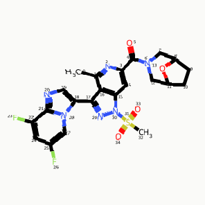 Cc1nc(C(=O)N2CC3CCC(C2)O3)cc2c1c(-c1cnc3c(F)cc(F)cn13)nn2S(C)(=O)=O